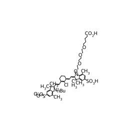 CCCC[N+]1=C(/C=C/C2=C(Cl)C(=C/C=C3/N(OCCOCCOCCOCCCCC(=O)O)c4c(C)cc(S(=O)(=O)O)cc4C3(C)C)/CCC2)C(C)(C)c2cc(SOO[O-])cc(C)c21